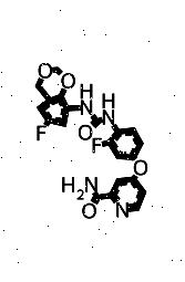 NC(=O)c1cc(Oc2ccc(NC(=O)Nc3cc(F)cc4c3OCOC4)c(F)c2)ccn1